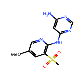 COc1cnc(Nc2cc(N)ncn2)c(S(C)(=O)=O)c1